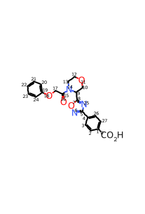 O=C(O)c1ccc(-c2noc(C3COCCN3C(=O)COc3ccccc3)n2)cc1